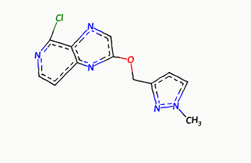 Cn1ccc(COc2cnc3c(Cl)nccc3n2)n1